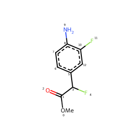 COC(=O)C(F)c1ccc(N)c(F)c1